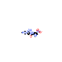 CN1CCN(c2ccc(NC(=O)c3cc([N+](=O)[O-])cn3C)c(N)n2)CC1